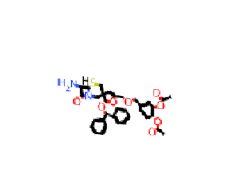 CC(=O)Oc1ccc(COCC=CC2(C(=O)OC(c3ccccc3)c3ccccc3)CS[C@@H]3C(N)C(=O)N3C2)cc1OC(C)=O